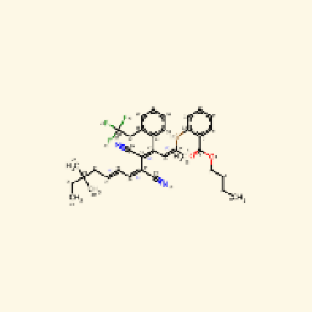 CCCCOC(=O)c1ccccc1S\C(C)=C/C(=C(C#N)\C(C#N)=C/C=C/CC(C)(C)CC)c1ccccc1CC(F)(F)F